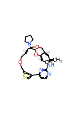 C=C1/C=C(\C(=C/C)OCCN2CCCC2)COC/C=C/COCc2cc(cs2)-c2ccnc(n2)N1